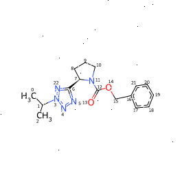 CC(C)n1nnc([C@H]2CCCN2C(=O)OCc2ccccc2)n1